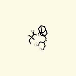 CCC(C)(C)C(=O)OC12CC3CC(C1)CC(OC(CO)CO)(C3)C2